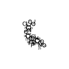 COC(=O)c1cnc(Oc2ccc(C(C)C(O)(c3ccc4oc(=O)n(C)c4c3)C(F)(F)F)c(Cl)c2)cc1Cl